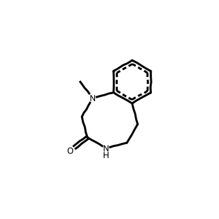 CN1CC(=O)NCCc2ccccc21